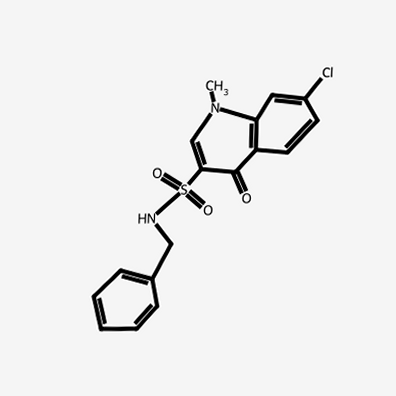 Cn1cc(S(=O)(=O)NCc2ccccc2)c(=O)c2ccc(Cl)cc21